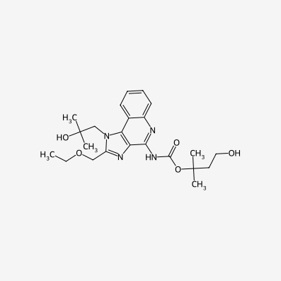 CCOCc1nc2c(NC(=O)OC(C)(C)CCO)nc3ccccc3c2n1CC(C)(C)O